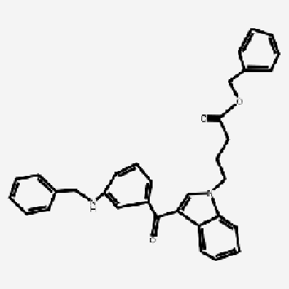 O=C(CCCn1cc(C(=O)c2cccc(NCc3ccccc3)c2)c2ccccc21)OCc1ccccc1